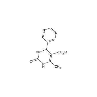 CCOC(=O)C1=C(C)NC(=O)NC1c1cncnc1